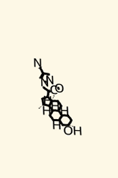 C[C@@H]1CC(C(=C=O)Cn2cc(C#N)cn2)[C@@]2(C)CC[C@H]3[C@@H](CC[C@@H]4C[C@](C)(O)CC[C@@H]43)[C@H]12